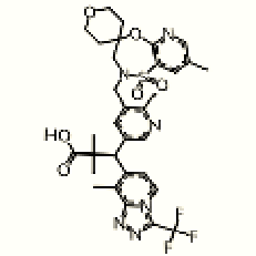 Cc1cnc2c(c1)S(=O)(=O)N(Cc1cc(C(c3ccn4c(C(F)(F)F)nnc4c3C)C(C)(C)C(=O)O)cnc1C)CC1(CCOCC1)O2